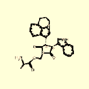 CC(N)C(=O)OCN1C(=O)[C@H](c2c[nH]c3ccccc23)[C@@H](c2cn3c4c(cccc24)CCC3)C1=O